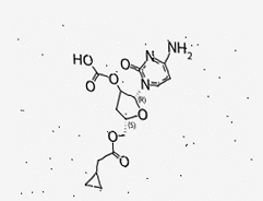 Nc1ccn([C@@H]2O[C@H](COC(=O)CC3CC3)CC2OC(=O)O)c(=O)n1